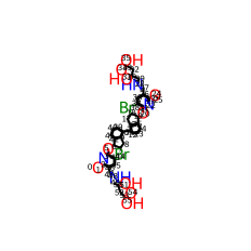 COc1nc(O[C@H]2CCc3c(-c4cccc5c4CC[C@@H]5Oc4nc(OC)c(CNC[C@H](O)CC(=O)O)cc4Br)cccc32)c(Br)cc1CNCC(O)CC(=O)O